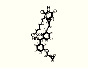 O=c1ccn(COCCCS(=O)(=O)NC(c2cccc(OCC3CC3)c2)c2cccc(OCC3CC3)c2)c(=O)[nH]1